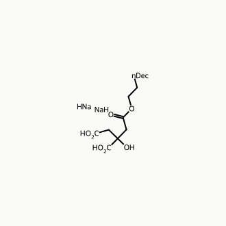 CCCCCCCCCCCCOC(=O)CC(O)(CC(=O)O)C(=O)O.[NaH].[NaH]